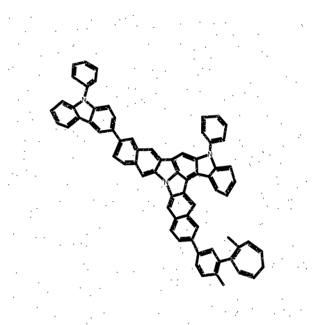 CC1=C(c2cc(-c3ccc4cc5c(cc4c3)c3c4c6ccccc6n(-c6ccccc6)c4cc4c6cc7cc(-c8ccc9c(c8)c8ccccc8n9-c8ccccc8)ccc7cc6n5c43)ccc2C)C=CCC=C1